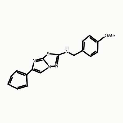 COc1ccc(CNc2nn3cc(-c4ccccc4)nc3s2)cc1